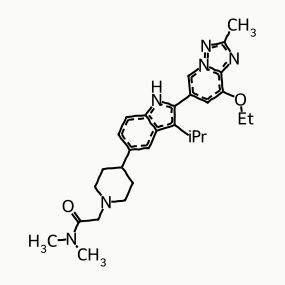 CCOc1cc(-c2[nH]c3ccc(C4CCN(CC(=O)N(C)C)CC4)cc3c2C(C)C)cn2nc(C)nc12